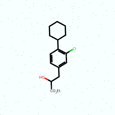 CCOC(=O)C(O)Cc1ccc(C2CCCCC2)c(Cl)c1